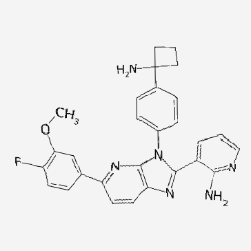 COc1cc(-c2ccc3nc(-c4cccnc4N)n(-c4ccc(C5(N)CCC5)cc4)c3n2)ccc1F